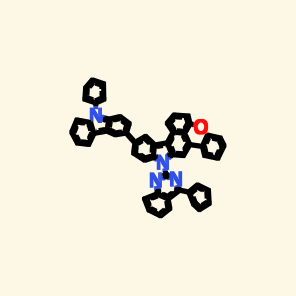 c1ccc(-c2nc(-n3c4ccc(-c5ccc6c(c5)c5ccccc5n6-c5ccccc5)cc4c4c5cccc6c5c(cc43)-c3ccccc3O6)nc3ccccc23)cc1